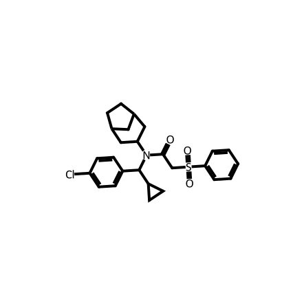 O=C(CS(=O)(=O)c1ccccc1)N(C1CC2CCC(C2)C1)C(c1ccc(Cl)cc1)C1CC1